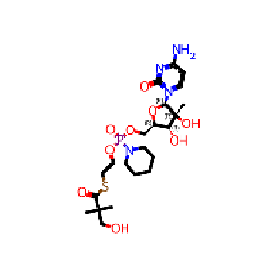 CC(C)(CO)C(=O)SCCOP(=O)(OC[C@H]1O[C@@H](n2ccc(N)nc2=O)[C@](C)(O)[C@@H]1O)N1CCCCC1